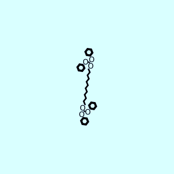 c1ccc(OC(OCCCCCCCCCCCCOC(Oc2ccccc2)Oc2ccccc2)Oc2ccccc2)cc1